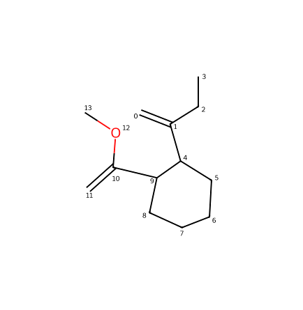 C=C(CC)C1CCCCC1C(=C)OC